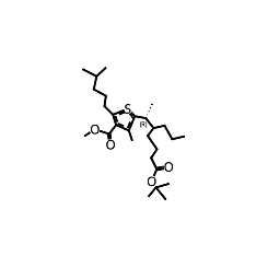 CCCC(CCCC(=O)OC(C)(C)C)[C@@H](C)c1sc(CCCC(C)C)c(C(=O)OC)c1C